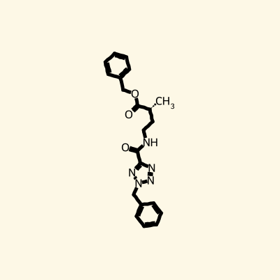 C[C@H](CCNC(=O)c1nnn(Cc2ccccc2)n1)C(=O)OCc1ccccc1